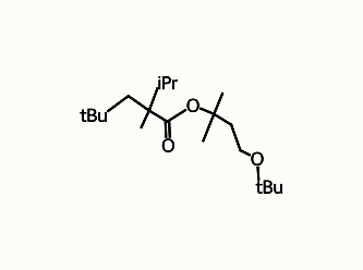 CC(C)C(C)(CC(C)(C)C)C(=O)OC(C)(C)CCOC(C)(C)C